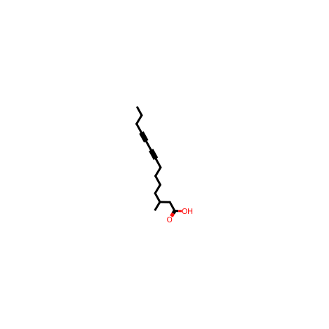 CCCC#CC#CCCCCC(C)CC(=O)O